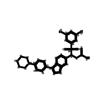 O=C(O)CN(c1ccc2c(ccn2-c2ccc(N3CCOCC3)nn2)c1)S(=O)(=O)c1cc(Cl)cc(Cl)c1